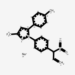 C=CC(c1ccc(-n2nc(C(F)(F)F)cc2-c2ccc(C)cc2)cc1)[S-](=O)=O.[Na+]